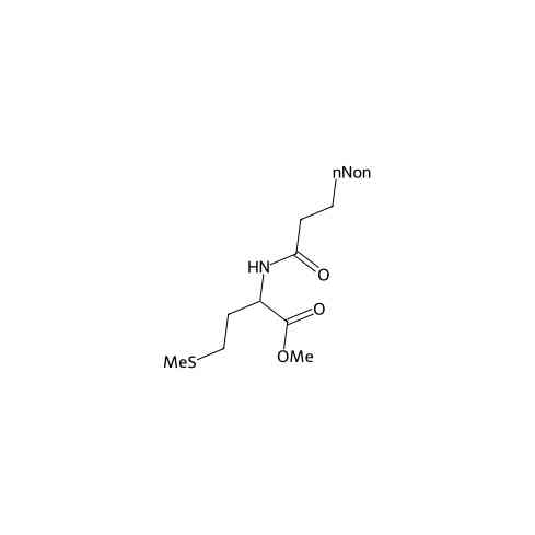 CCCCCCCCCCCC(=O)NC(CCSC)C(=O)OC